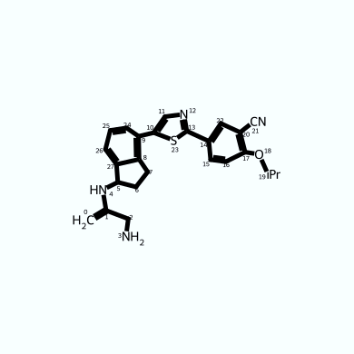 C=C(CN)NC1CCc2c(-c3cnc(-c4ccc(OC(C)C)c(C#N)c4)s3)cccc21